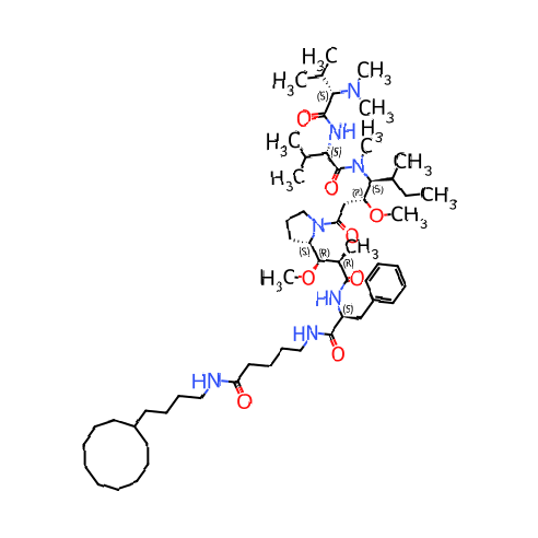 CCC(C)[C@@H]([C@@H](CC(=O)N1CCC[C@H]1[C@H](OC)[C@@H](C)C(=O)N[C@@H](Cc1ccccc1)C(=O)NCCCCC(=O)NCCCCC1CCCCCCCCC1)OC)N(C)C(=O)[C@@H](NC(=O)[C@H](C(C)C)N(C)C)C(C)C